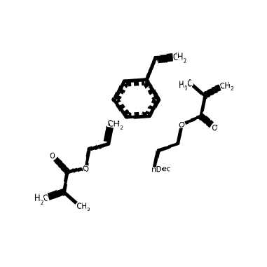 C=C(C)C(=O)OCCCCCCCCCCCC.C=CCOC(=O)C(=C)C.C=Cc1ccccc1